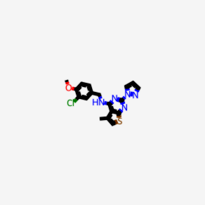 COc1ccc(CNc2nc(-n3cccn3)nc3scc(C)c23)cc1Cl